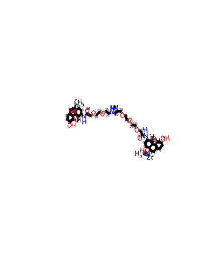 CCN(C)C1Cc2ccc(O)c3c2[C@@]2(C)[C@@H](O3)[C@@H](NC(=O)COCCOCCOCc3cn(CCOCCOCC(=O)N[C@@H]4CC[C@@]5(O)C6Cc7ccc(O)c8c7[C@@]5(CCN6C)[C@H]4O8)nn3)CC[C@@]12O